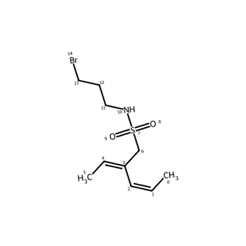 C/C=C\C(=C/C)CS(=O)(=O)NCCCBr